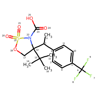 CC(c1ccc(C(F)(F)F)cc1)C1(C(C)(C)C)COS(=O)(=O)N1C(=O)O